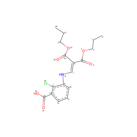 CCCOC(=O)C(=CNc1cccc(C(=O)O)c1Cl)C(=O)OCCC